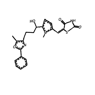 Cc1oc(-c2ccccc2)nc1CCC(O)c1ccc(C=C2SC(=O)NC2=O)n1C